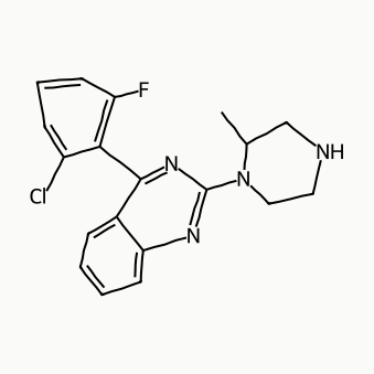 CC1CNCCN1c1nc(-c2c(F)cccc2Cl)c2ccccc2n1